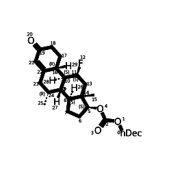 CCCCCCCCCCOC(=O)O[C@H]1CC[C@H]2[C@H]3[C@H]([C@@H](F)C[C@]12C)[C@H]1CCC(=O)C=C1C[C@H]3C